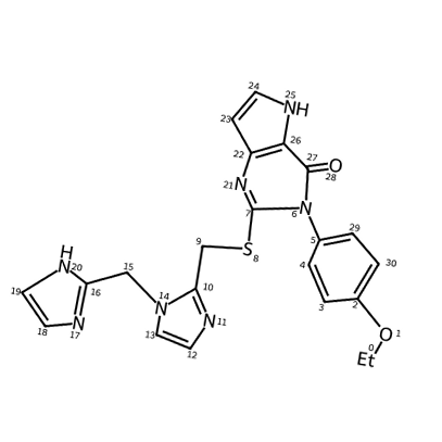 CCOc1ccc(-n2c(SCc3nccn3Cc3ncc[nH]3)nc3cc[nH]c3c2=O)cc1